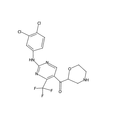 O=C(c1cnc(Nc2ccc(Cl)c(Cl)c2)nc1C(F)(F)F)C1CNCCO1